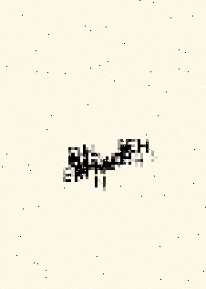 CCn1nc(NCC(=O)NC2CN(C3CCC(O)(c4cnc(C)s4)CC3)C2)c2cc(C)ccc21